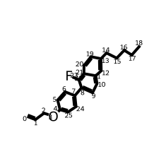 C=CCOc1ccc(-c2ccc3cc(CCCCC)ccc3c2F)cc1